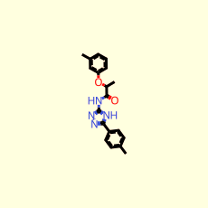 Cc1ccc(-c2nnc(NC(=O)C(C)Oc3cccc(C)c3)[nH]2)cc1